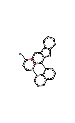 CC(C)c1ccc(-c2cccc3cccc(-c4cccc5c4sc4ccccc45)c23)cc1